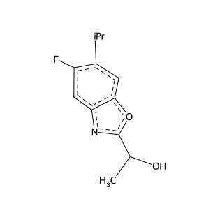 CC(C)c1cc2oc(C(C)O)nc2cc1F